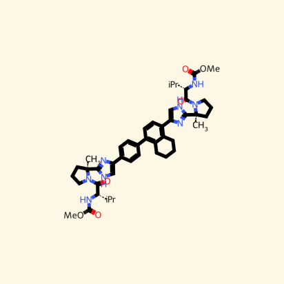 COC(=O)N[C@H](C(=O)N1CCC[C@@]1(C)c1nc(-c2ccc(-c3ccc(-c4c[nH]c([C@]5(C)CCCN5C(=O)[C@@H](NC(=O)OC)C(C)C)n4)c4c3CCCC4)cc2)c[nH]1)C(C)C